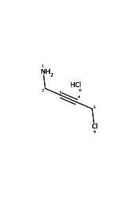 Cl.NCC#CCCl